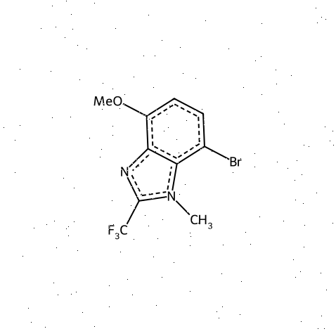 COc1ccc(Br)c2c1nc(C(F)(F)F)n2C